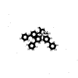 CC1=C(c2ccc(-c3ccccc3)cc2)[B-](c2ccc(-c3ccccc3)cc2)(c2ccc(-c3ccccc3)cc2)[O+](C)C1